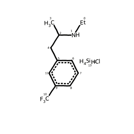 CCNC(C)Cc1cccc(C(F)(F)F)c1.Cl.[SiH4]